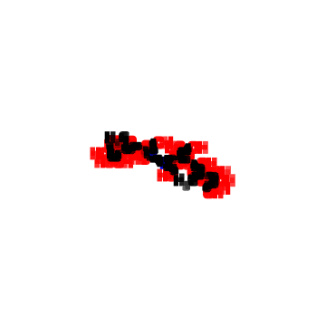 CC1OC(COC2OC(CO)C(O)C(OC3CN(CCCN4CC(CO)OC(OCC5OC(C)C(O)C(OC6OC(CO)C(O)C(O)C6O)C5O)C4O)CC(CO)O3)C2O)C(O)C(OC2OC(CO)C(O)C(O)C2O)C1O